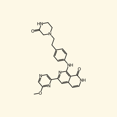 COc1cncc(-c2cc3cc[nH]c(=O)c3c(Nc3ccc(CCN4CCNC(=O)C4)cc3)n2)n1